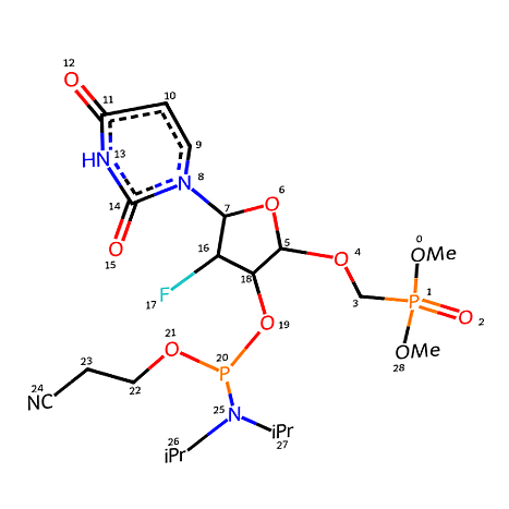 COP(=O)(COC1OC(n2ccc(=O)[nH]c2=O)C(F)C1OP(OCCC#N)N(C(C)C)C(C)C)OC